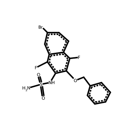 NS(=O)(=O)Nc1c(OCc2ccccc2)c(F)c2ccc(Br)cc2c1F